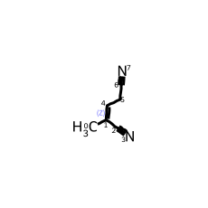 C/C(C#N)=C/CC#N